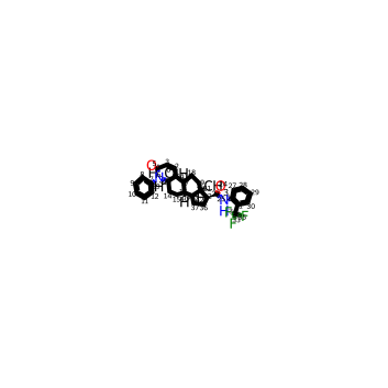 C[C@]12C=CC(=O)N(c3ccccc3)[C@@H]1CC[C@@H]1[C@@H]2CC[C@]2(C)[C@@H](C(=O)Nc3ccccc3C(F)(F)F)CC[C@@H]12